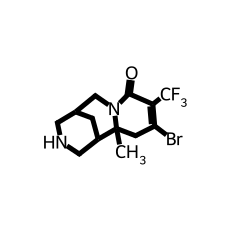 CC12CC(Br)=C(C(F)(F)F)C(=O)N1CC1CNCC2C1